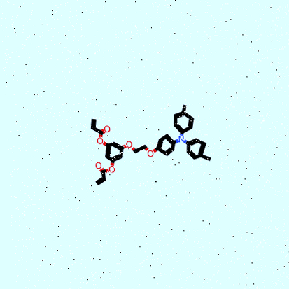 C=CC(=O)Oc1cc(OCCOc2ccc(N(c3ccc(C)cc3)c3ccc(C)cc3)cc2)cc(OC(=O)C=C)c1